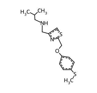 CSc1ccc(OCc2nc(CNCC(C)C)cs2)cc1